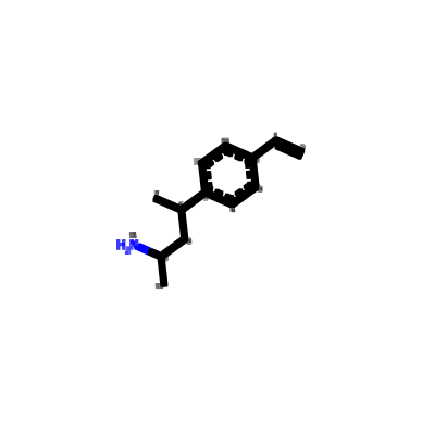 C=Cc1ccc(C(C)CC(C)N)cc1